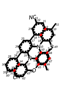 Cc1ccc2c(c1)Sc1cc(C)ccc1N2c1c(-c2cccc(C#N)c2)ccc(-c2cccc(C#N)c2)c1N1c2cc(F)ccc2Oc2ccc(F)cc21